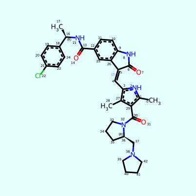 Cc1[nH]c(/C=C2\C(=O)Nc3ccc(C(=O)N[C@H](C)c4ccc(Cl)cc4)cc32)c(C)c1C(=O)N1CCC[C@@H]1CN1CCCC1